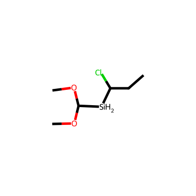 CCC(Cl)[SiH2]C(OC)OC